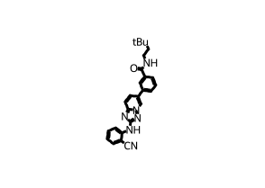 CC(C)(C)CCNC(=O)c1cccc(-c2ccc3nc(Nc4ccccc4C#N)nn3c2)c1